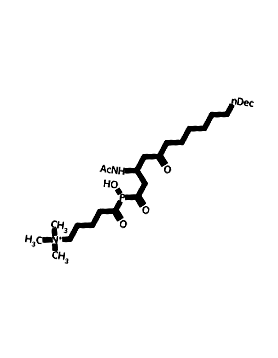 CCCCCCCCCCCCCCCCC(=O)CC(CC(=O)P(O)C(=O)CCCC[N+](C)(C)C)NC(C)=O